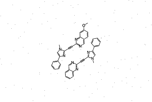 COc1ccc2cnc(C#Cc3nc(-c4ccccc4)cn3C)nc2c1.Cn1cc(-c2ccccc2)nc1C#Cc1ncc2ccccc2n1